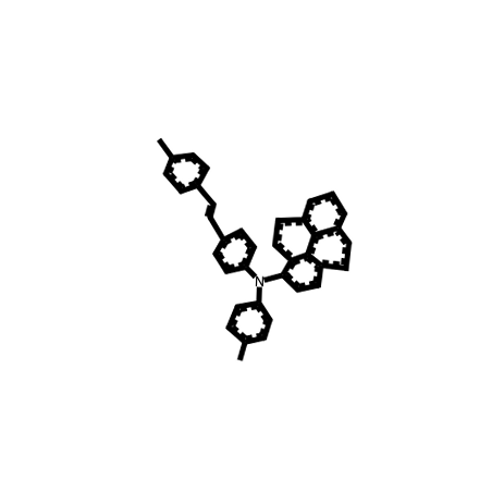 Cc1ccc(C=Cc2ccc(N(c3ccc(C)cc3)c3ccc4ccc5cccc6ccc3c4c56)cc2)cc1